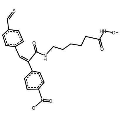 O=C(CCCCCNC(=O)/C(=C\c1ccc(C=S)cc1)c1ccc([N+](=O)[O-])cc1)NO